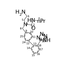 CCCNC(=O)N(CCN)Cc1ccc(-c2ccccc2-c2nnn[nH]2)cc1